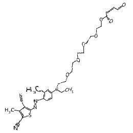 CCN(CCOCCOCCOCCOCCOC(=O)/C=C\C=O)c1ccc(/N=N/c2sc(C#N)c(C)c2C#N)c(C)c1